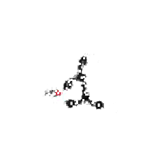 CN1CCN(CCOc2ccc(CCCCc3ccc(OCCN4CCN(C)CC4)c(OCCN4CCN(C)CC4)c3)cc2OCCN2CCN(C)CC2)CC1.Cl.Cl.Cl.Cl